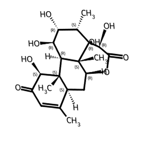 CC1=CC(=O)[C@@H](O)[C@]2(C)[C@H]3[C@@H](O)[C@H](O)[C@H](C)[C@]4(O)[C@@H](O)C(=O)O[C@H](C[C@@H]12)[C@]34C